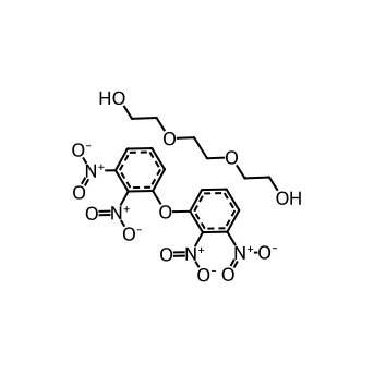 O=[N+]([O-])c1cccc(Oc2cccc([N+](=O)[O-])c2[N+](=O)[O-])c1[N+](=O)[O-].OCCOCCOCCO